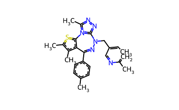 C=C(C)/N=C\C(=C/C)CN1N=C(c2ccc(C)cc2)c2c(sc(C)c2C)-n2c(C)nnc21